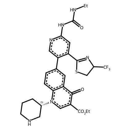 CCNC(=O)Nc1cc(C2=NC(C(F)(F)F)CS2)c(-c2ccc3c(c2)c(=O)c(C(=O)OCC)cn3[C@H]2CCCNC2)cn1